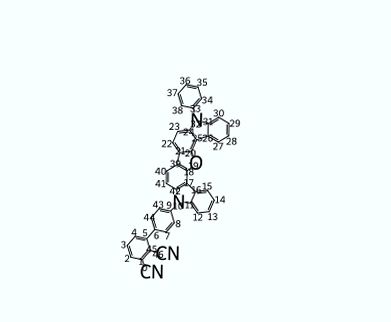 N#Cc1cccc(-c2ccc(-n3c4ccccc4c4c5oc6c(ccc7c6c6ccccc6n7-c6ccccc6)c5ccc43)cc2)c1C#N